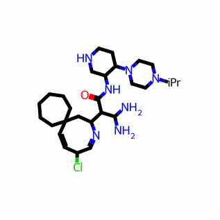 CC(C)N1CCN(C2CCNCC2NC(=O)C(C(N)N)C2CC3(/C=C\C(Cl)/C=N\2)CCCCCC3)CC1